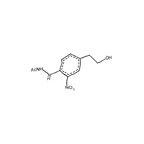 CC(=O)NNc1ccc(CCO)cc1[N+](=O)[O-]